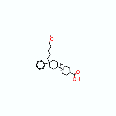 COCCCCCC1(c2ccccc2)CCC([SiH]2CCC(C(=O)O)CC2)CC1